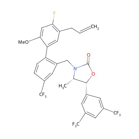 C=CCc1cc(-c2ccc(C(F)(F)F)cc2CN2C(=O)O[C@H](c3cc(C(F)(F)F)cc(C(F)(F)F)c3)[C@@H]2C)c(OC)cc1F